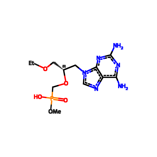 CCOC[C@H](Cn1cnc2c(N)nc(N)nc21)OCP(=O)(O)OC